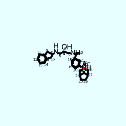 C=C(NC[C@@H](O)CNC1Cc2ccccc2C1)c1cccc(NC2C3CCC2CN(C(C)=O)C3)c1